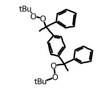 CC(C)(C)OOC(C)(c1ccccc1)c1ccc(C(C)(OOC(C)(C)C)c2ccccc2)cc1